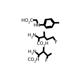 CC(CCF)C(N)C(=O)O.CC(F)C(C)C(N)C(=O)O.Cc1ccc(NCC(=O)O)cc1